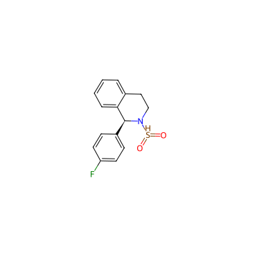 O=[SH](=O)N1CCc2ccccc2[C@@H]1c1ccc(F)cc1